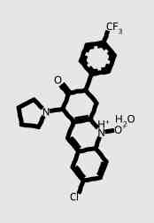 O.O=C1C(c2ccc(C(F)(F)F)cc2)CC2=C(C=C3C=C(Cl)C=CC3[NH+]2[O-])C1N1CCCC1